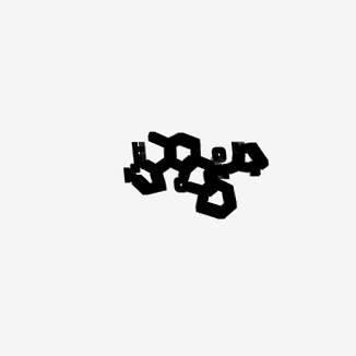 Cc1ccc(S(=O)(=O)Nc2nccs2)c(Oc2ccccc2)c1-c1ccn[nH]1